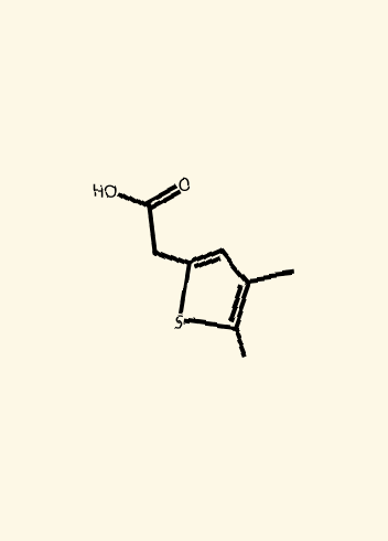 Cc1cc(CC(=O)O)sc1C